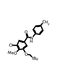 COc1c(Cl)cc(C(=O)Nc2ccc(C)cc2)cc1OCC(C)(C)C